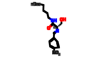 CCCCCCCCCCCCCCNC(=O)[C@H](CO)N=Cc1ccc([N+](=O)[O-])cc1